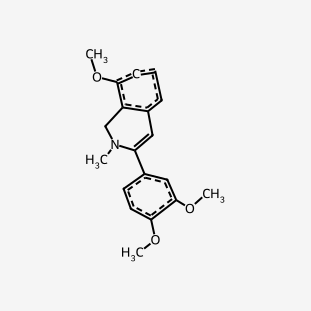 COc1ccc(C2=Cc3cccc(OC)c3CN2C)cc1OC